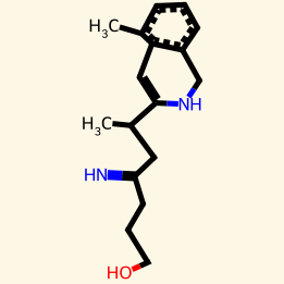 Cc1cccc2c1C=C(C(C)CC(=N)CCCO)NC2